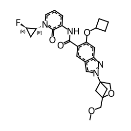 COCC12CC(n3cc4cc(C(=O)Nc5cccn([C@@H]6C[C@H]6F)c5=O)c(OC5CCC5)cc4n3)(CO1)C2